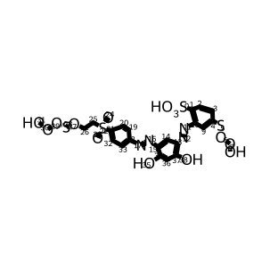 O=S(=O)(O)c1ccc(SOOO)cc1/N=N/c1cc(/N=N/c2ccc(S(=O)(=O)CCOSOOO)cc2)c(O)cc1O